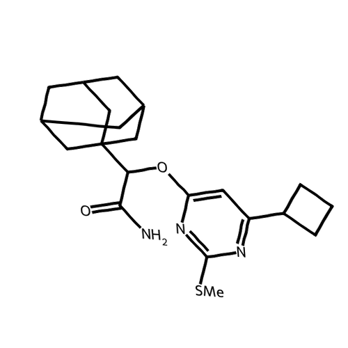 CSc1nc(OC(C(N)=O)C23CC4CC(CC(C4)C2)C3)cc(C2CCC2)n1